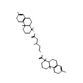 CC(C)C1=CC2=C(CC1)C1(C)CCCC(C)(OC(=O)CC(O)CCOC(=O)C3(C)CCCC4(C)C5=C(C=C(C(C)C)CC5)CCC34)C1CC2